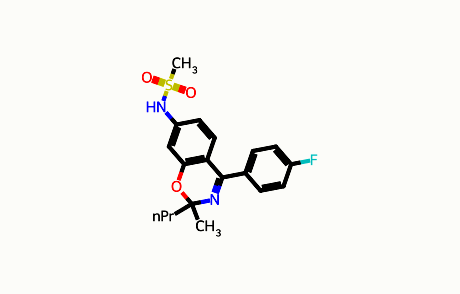 CCCC1(C)N=C(c2ccc(F)cc2)c2ccc(NS(C)(=O)=O)cc2O1